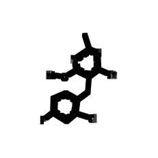 CCOc1nc(C)nc(CC)c1Cc1ccc(F)cc1Cl